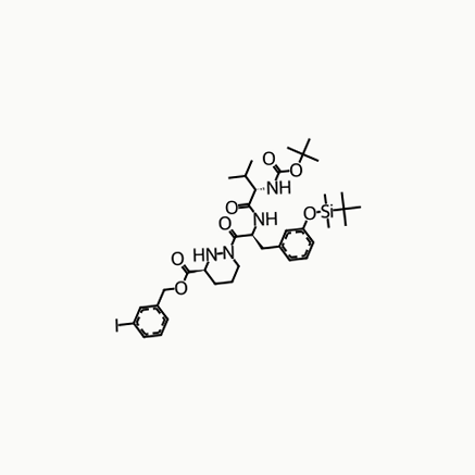 CC(C)[C@H](NC(=O)OC(C)(C)C)C(=O)N[C@@H](Cc1cccc(O[Si](C)(C)C(C)(C)C)c1)C(=O)N1CCC[C@@H](C(=O)OCc2cccc(I)c2)N1